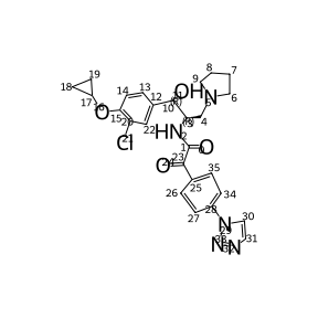 O=C(N[C@H](CN1CCCC1)[C@H](O)c1ccc(OC2CC2)c(Cl)c1)C(=O)c1ccc(-n2ccnn2)cc1